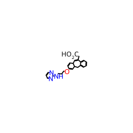 O=C(O)CC1=CC2C=CC(OCCCNc3ncccn3)=CC2Cc2ccccc21